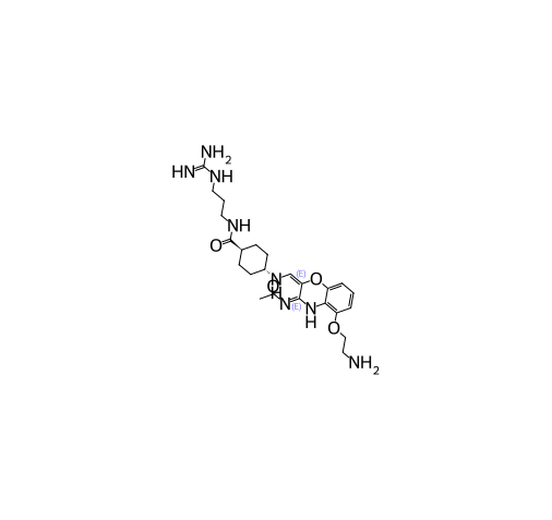 CC(=O)/N=C1/Nc2c(OCCN)cccc2O/C1=C/N[C@H]1CC[C@H](C(=O)NCCCNC(=N)N)CC1